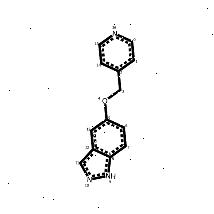 c1cc(COc2ccc3[nH]ncc3c2)ccn1